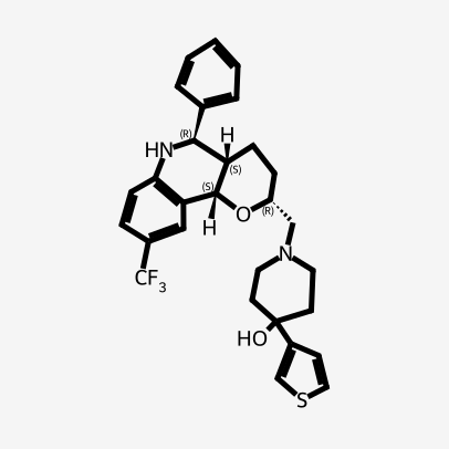 OC1(c2ccsc2)CCN(C[C@H]2CC[C@@H]3[C@H](O2)c2cc(C(F)(F)F)ccc2N[C@H]3c2ccccc2)CC1